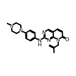 C=C(C)Cn1c(=O)ccc2cnc(Nc3ccc(N4CCN(C)CC4)cc3)nc21